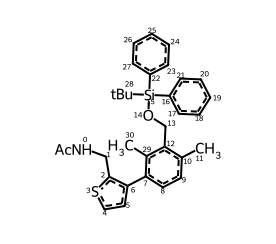 CC(=O)NCc1sccc1-c1ccc(C)c(CO[Si](c2ccccc2)(c2ccccc2)C(C)(C)C)c1C